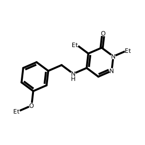 CCOc1cccc(CNc2cnn(CC)c(=O)c2CC)c1